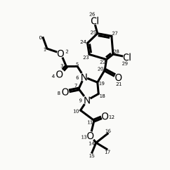 CCOC(=O)CN1C(=O)N(CC(=O)OC(C)(C)C)CC1C(=O)c1ccc(Cl)cc1Cl